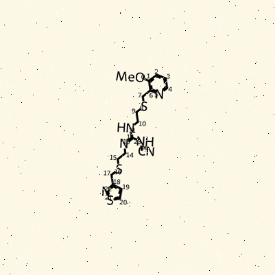 COc1cccnc1CSCCN/C(=N/CCSCc1ccsn1)NC#N